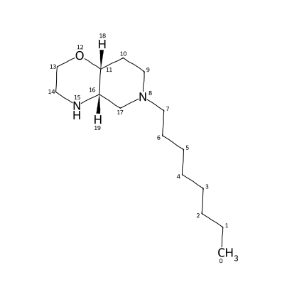 CCCCCCCCN1CC[C@H]2OCCN[C@H]2C1